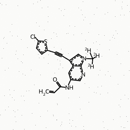 [2H]C([2H])([2H])n1cc(C#Cc2ccc(Cl)s2)c2cc(NC(=O)C=C)cnc21